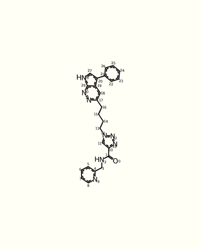 O=C(NCc1ccccn1)c1cn(CCCCc2cc3c(-c4ccccc4)c[nH]c3nn2)nn1